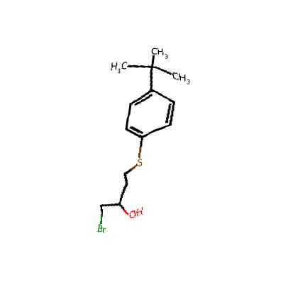 CC(C)(C)c1ccc(SCC(O)CBr)cc1